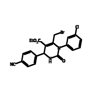 CCOC(=O)C1=C(CBr)N(c2cccc(Cl)c2)C(=O)NC1c1ccc(C#N)cc1